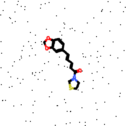 O=C(C=CC=Cc1ccc2c(c1)OCO2)N1CCSC1